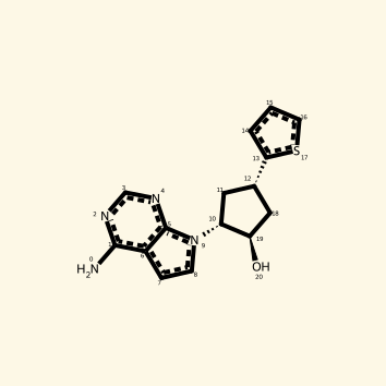 Nc1ncnc2c1ccn2[C@@H]1C[C@H](c2cccs2)C[C@H]1O